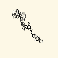 CCc1cnc(N2CCC(CCCOc3cc(F)c(CC(=O)N4CC(CNCC(O)C(O)C(O)C(O)CO)C4)c(F)c3)CC2)nc1